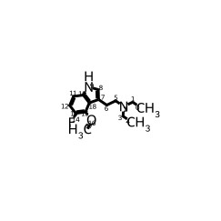 CCN(CC)CCc1c[nH]c2ccc(F)c(OC)c12